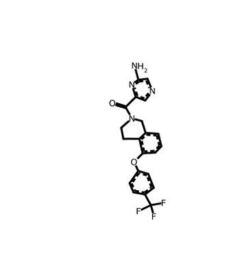 Nc1cncc(C(=O)N2CCc3c(cccc3Oc3ccc(C(F)(F)F)cc3)C2)n1